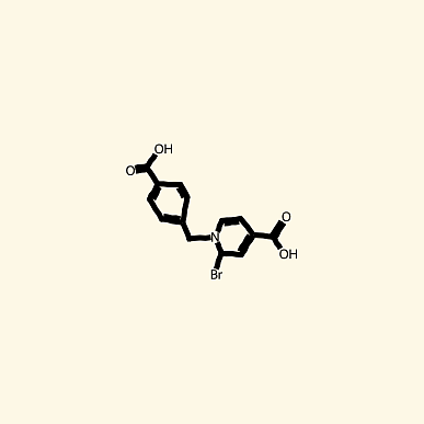 O=C(O)C1=CC(Br)N(Cc2ccc(C(=O)O)cc2)C=C1